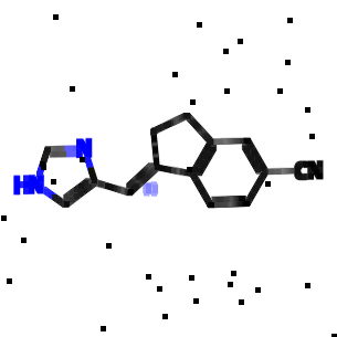 N#Cc1ccc2c(c1)CC/C2=C\c1c[nH]cn1